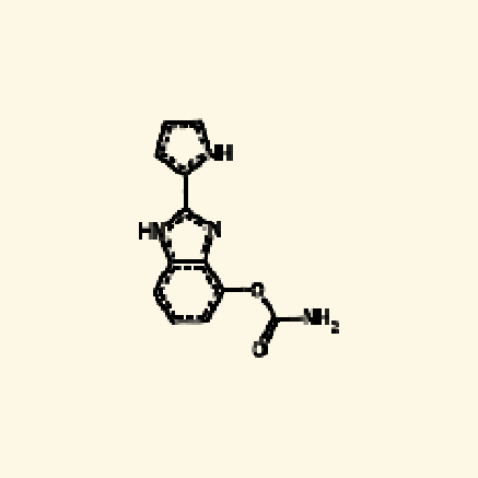 NC(=O)Oc1cccc2[nH]c(-c3ccc[nH]3)nc12